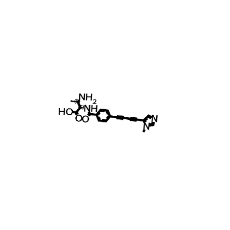 C[C@@H](N)[C@H](NC(=O)c1ccc(C#CC#Cc2cncn2C)cc1)C(=O)O